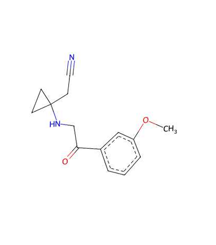 COc1cccc(C(=O)CNC2(CC#N)CC2)c1